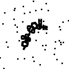 CCc1cc2c3c(ccc2[nH]1)OC[C@H](COS(=O)(=O)c1ccc(C)cc1)O3